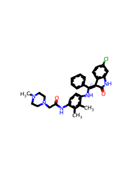 Cc1c(NC(=O)CN2CCN(C)CC2)ccc(N/C(=C2\C(=O)Nc3cc(Cl)ccc32)c2ccccc2)c1C